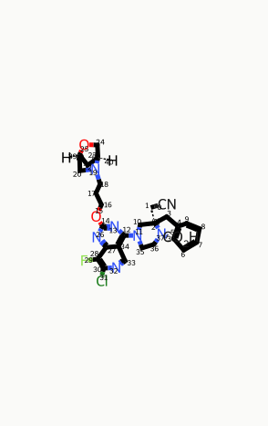 N#CC[C@@]1(Cc2ccccc2)CN(c2nc(OCCCN3C[C@@H]4C[C@H]3CO4)nc3c(F)c(Cl)ncc23)CCN1C(=O)O